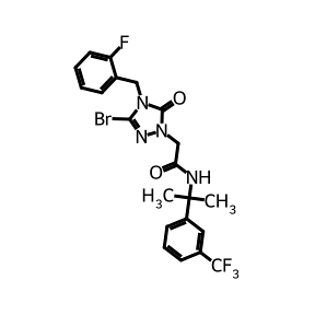 CC(C)(NC(=O)Cn1nc(Br)n(Cc2ccccc2F)c1=O)c1cccc(C(F)(F)F)c1